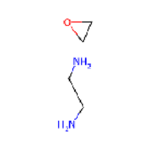 C1CO1.NCCN